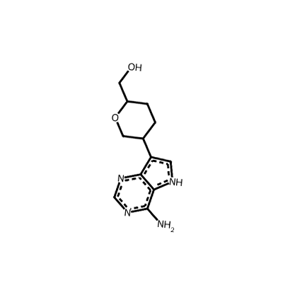 Nc1ncnc2c(C3CCC(CO)OC3)c[nH]c12